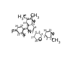 Cc1cc([C@H]2C[C@@H](c3cc4nc(C)c(C)cc4c(-c4ccc(F)cc4F)n3)CCO2)ccn1